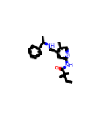 CCC(C)(C)C(=O)Nc1cc(CNC(C)c2ccccc2)c(C)cn1